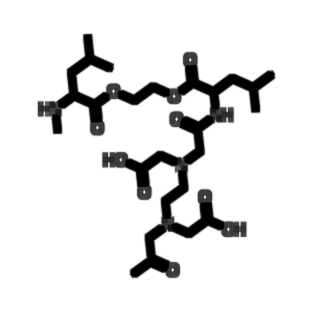 CNC(CC(C)C)C(=O)OCCOC(=O)C(CC(C)C)NC(=O)CN(CCN(CC(C)=O)CC(=O)O)CC(=O)O